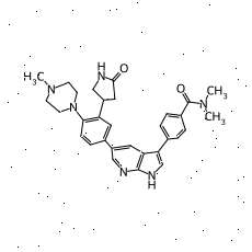 CN1CCN(c2ccc(-c3cnc4[nH]cc(-c5ccc(C(=O)N(C)C)cc5)c4c3)cc2C2CNC(=O)C2)CC1